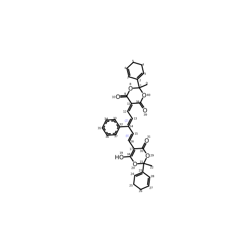 CC1(C2=CCCC=C2)OC(=O)C(=C/C=C(/C=C/C2=C(O)OC(C)(C3=CCCC=C3)OC2=O)c2ccccc2)C(=O)O1